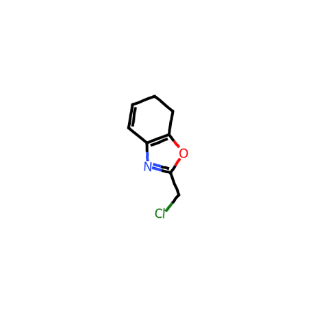 ClCc1nc2c(o1)CCC=C2